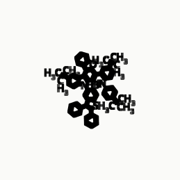 CC(C)(C)c1ccc(Nc2ccc(C(C)(C)C)cc2-c2c3c4c(c5cc(C(C)(C)C)ccc5n4-c4cc5c(cc4B3)SC(c3ccccc3)C5c3ccccc3)c3c2oc2ccccc23)cc1